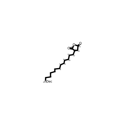 CCCCCCCCCCCCCCCCCCCCCCC1CC(=O)OC1=O